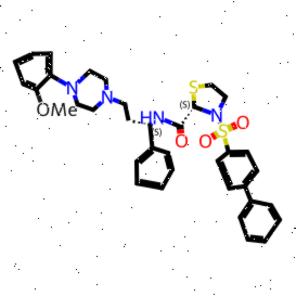 COc1ccccc1N1CCN(CC[C@H](NC(=O)[C@@H]2SCCN2S(=O)(=O)c2ccc(-c3ccccc3)cc2)c2ccccc2)CC1